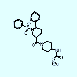 CC(C)(C)OC(=O)NC1CCN(C(=O)C2CCC(c3ccccc3)N(S(=O)(=O)c3ccccc3)C2)CC1